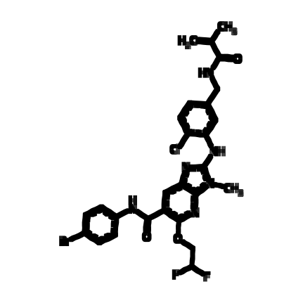 C=C(C)C(=O)NCc1ccc(Cl)c(Nc2nc3cc(C(=O)Nc4ccc(Br)cc4)c(OCC(F)F)nc3n2C)c1